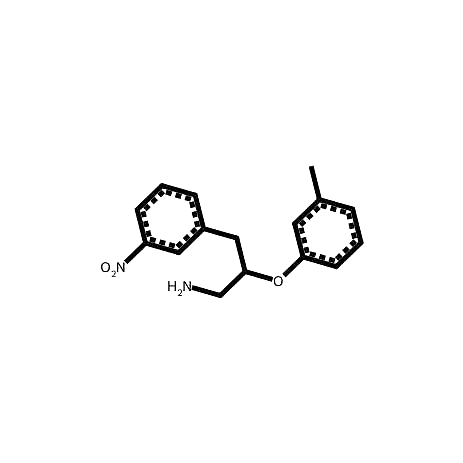 Cc1cccc(OC(CN)Cc2cccc([N+](=O)[O-])c2)c1